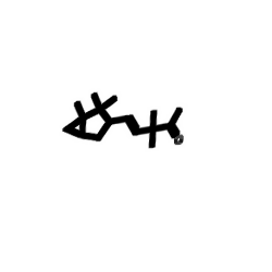 CC(=O)C(C)(C)C=CC1CC2CC2(C)C1(C)C